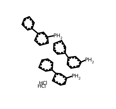 Cl.Cl.Pc1cccc(-c2ccccc2)c1.Pc1cccc(-c2ccccc2)c1.Pc1cccc(-c2ccccc2)c1